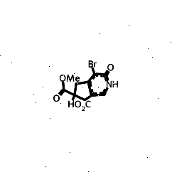 COC(=O)C1(C(=O)O)Cc2c[nH]c(=O)c(Br)c2C1